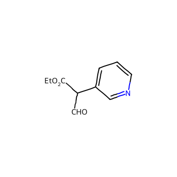 CCOC(=O)C(C=O)c1cccnc1